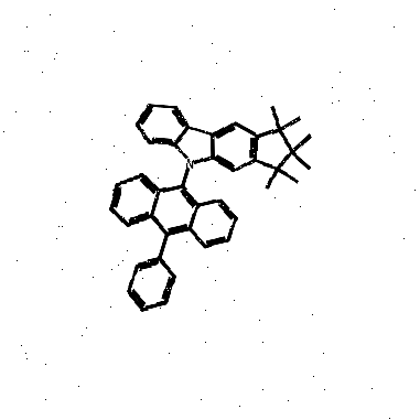 CC1(C)c2cc3c4ccccc4n(-c4c5ccccc5c(-c5ccccc5)c5ccccc45)c3cc2C(C)(C)C1(C)C